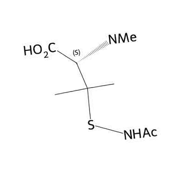 CN[C@@H](C(=O)O)C(C)(C)SNC(C)=O